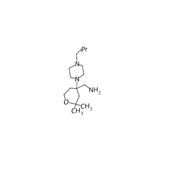 CC(C)CN1CCN(C2(CN)CCOC(C)(C)C2)CC1